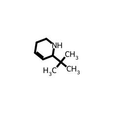 CC(C)(C)C1C=CCCN1